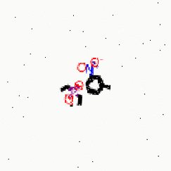 CCP(=O)(CC)OC.Cc1cccc([N+](=O)[O-])c1